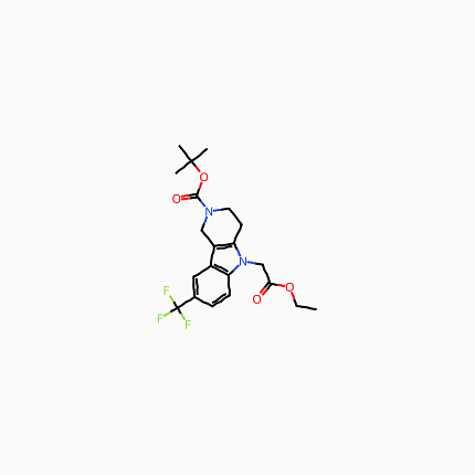 CCOC(=O)Cn1c2c(c3cc(C(F)(F)F)ccc31)CN(C(=O)OC(C)(C)C)CC2